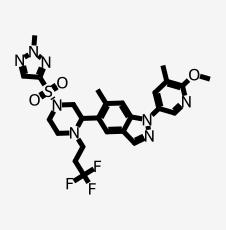 COc1ncc(-n2ncc3cc(C4CN(S(=O)(=O)c5cnn(C)n5)CCN4CCC(F)(F)F)c(C)cc32)cc1C